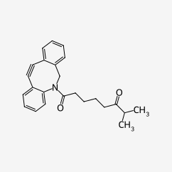 CC(C)C(=O)CCCCC(=O)N1Cc2ccccc2C#Cc2ccccc21